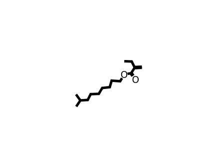 C=C(CC)C(=O)OCCCCCCCC(C)C